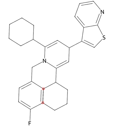 Fc1ccc(CN2C(C3CCCCC3)=CC(c3csc4ncccc34)C=C2C2CCCCC2)cc1